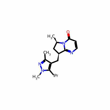 Cc1nn(C)c(C(C)C)c1C[C@H]1C[C@@H](C)n2c1nccc2=O